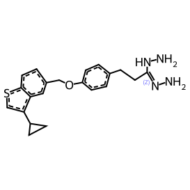 N/N=C(/CCc1ccc(OCc2ccc3scc(C4CC4)c3c2)cc1)NN